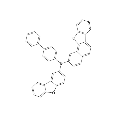 c1ccc(-c2ccc(N(c3ccc4oc5ccccc5c4c3)c3ccc4ccc5c6cnccc6oc5c4c3)cc2)cc1